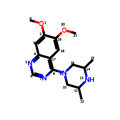 COc1cc2ncnc(N3CC(C)NC(C)C3)c2cc1OC